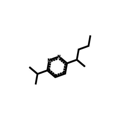 CCCC(C)c1ccc(C(C)C)nn1